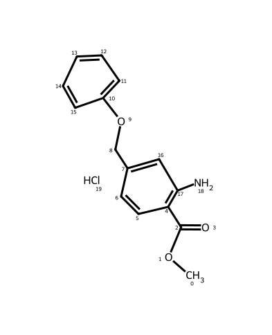 COC(=O)c1ccc(COc2ccccc2)cc1N.Cl